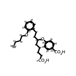 O=C(O)CCCCC(CCc1ccccc1OCCCBr)Oc1ccc(C(=O)O)cc1